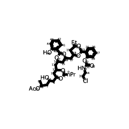 CCCC1OC(CC(O)CC(C)OC(C)=O)CC(CC2CC(CC3CC(CC)OC(c4ccccc4OC(=O)NCCCl)O3)OC(c3ccccc3O)O2)O1